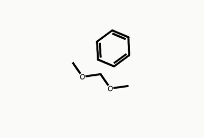 COCOC.c1ccccc1